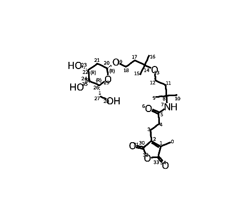 CC1=C(CCC(=O)NC(C)(C)CCOC(C)(C)CCO[C@H]2C[C@@H](O)[C@@H](O)[C@@H](CO)O2)C(=O)OC1=O